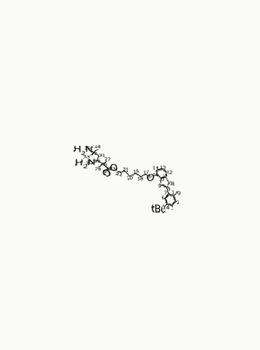 Cc1ccc(C(C)(C)C)cc1C1=Cc2c(cccc2OCCCCCCOC(=O)C(C)(C)C(N)CC(C)(C)N)C1